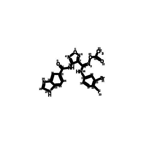 O=C(Nc1nonc1/C(=N\OC(=O)C(F)(F)F)Nc1ccc(F)c(Br)c1)c1ccc2[nH]cnc2c1